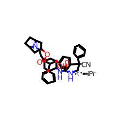 CC(C)C[C@H](NC(=O)NC1CCC(CCN2C3CCC2CC(OC(=O)C(CO)c2ccccc2)C3)CC1)C(C#N)(c1ccccc1)c1ccccc1